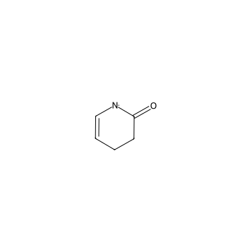 O=C1CCC=C[N]1